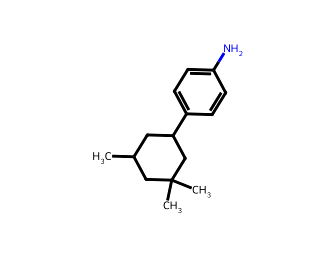 CC1CC(c2ccc(N)cc2)CC(C)(C)C1